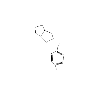 Cc1ccc(N[C@@H]2C[C@H]3CNC[C@H]3C2)nc1